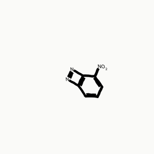 O=[N+]([O-])c1cc[c]c2c1N=N2